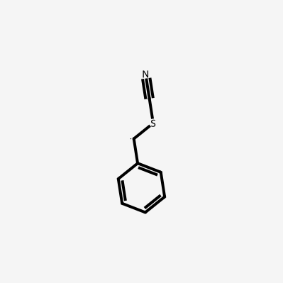 N#CS[CH]c1ccccc1